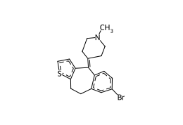 CN1CCC(=C2c3ccc(Br)cc3CCc3sccc32)CC1